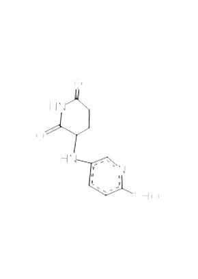 O=Cc1ccc(NC2CCC(=O)NC2=O)cn1